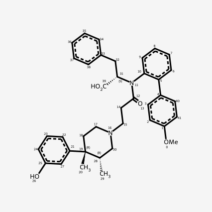 COc1ccc(-c2ccccc2N(C(=O)CCN2CC[C@@](C)(c3cccc(O)c3)[C@@H](C)C2)[C@@H](Cc2ccccc2)C(=O)O)cc1